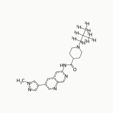 [2H]C([2H])([2H])C([2H])(C([2H])([2H])[2H])C([2H])([2H])N1CCC(C(=O)Nc2cc3cc(-c4cnn(C)c4)cnc3cn2)CC1